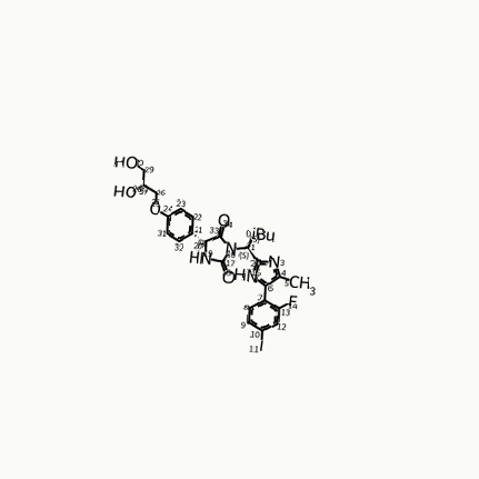 CC[C@H](C)[C@@H](c1nc(C)c(-c2ccc(I)cc2F)[nH]1)N1C(=O)N[C@H](c2ccc(OC[C@H](O)CO)cc2)C1=O